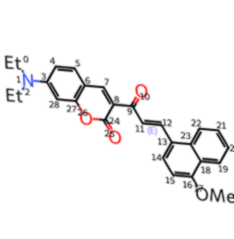 CCN(CC)c1ccc2cc(C(=O)/C=C/c3ccc(OC)c4ccccc34)c(=O)oc2c1